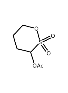 CC(=O)OC1CCCOS1(=O)=O